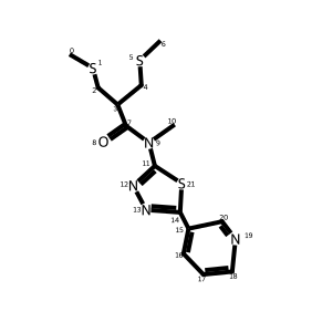 CSCC(CSC)C(=O)N(C)c1nnc(-c2cccnc2)s1